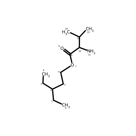 CCC(CC)CCOC(=O)C(N)C(C)C